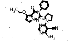 CCOc1ccn2nc([C@@H]3CCCN3c3ncnc(N)c3C#N)n(-c3ccccc3)c(=O)c12